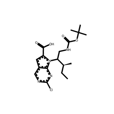 CC[C@H](C)C(CNC(=O)OC(C)(C)C)n1c(C(=O)O)cc2cnc(Cl)nc21